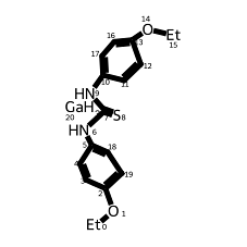 CCOc1ccc(NC(=S)Nc2ccc(OCC)cc2)cc1.[GaH3]